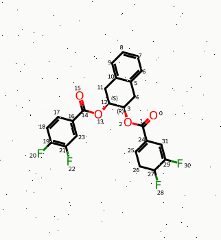 O=C(O[C@@H]1Cc2ccccc2C[C@@H]1OC(=O)c1ccc(F)c(F)c1)C1=CCC(F)C(F)=C1